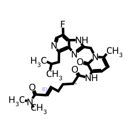 Cc1ccc(NC(=O)[CH]CC/C=C/C(=O)N(C)C)c(=O)n1Cc1nc2c(CC(C)C)ncc(F)c2[nH]1